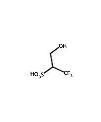 O=S(=O)(O)C(CO)C(F)(F)F